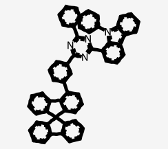 c1ccc(-c2nc(-c3cccc(-c4cccc5c4-c4ccccc4C54c5ccccc5-c5ccccc54)c3)nc(-c3cccc4c5ccccc5n(-c5ccccc5)c34)n2)cc1